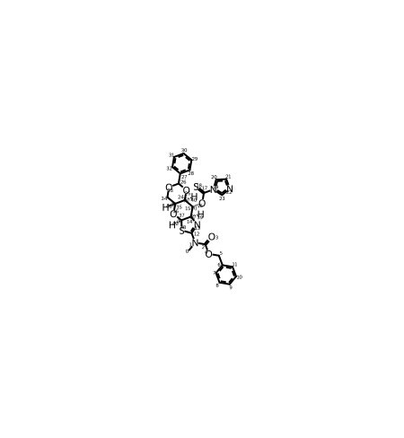 CN(C(=O)OCc1ccccc1)C1=N[C@@H]2[C@@H](OC(=S)n3ccnc3)[C@@H]3OC(c4ccccc4)OC[C@H]3O[C@@H]2S1